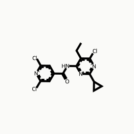 CCc1c(Cl)nc(C2CC2)nc1NC(=O)c1cc(Cl)nc(Cl)c1